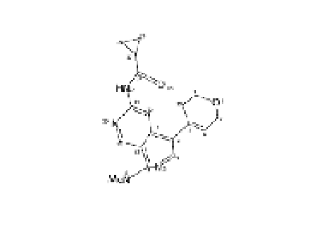 CNc1ncc(C2=CCOCC2)c2cc(NC(=O)C3CC3)ncc12